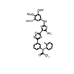 COc1cc(Nc2nc(N)c(-c3nc(-c4cccc(N(C(=O)C(F)(F)F)c5ccccc5C)c4)no3)s2)cc(OC)c1OC